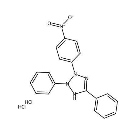 Cl.Cl.O=[N+]([O-])c1ccc(N2N=C(c3ccccc3)NN2c2ccccc2)cc1